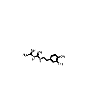 N=C(N)NC(=N)NCCc1ccc(O)c(O)c1